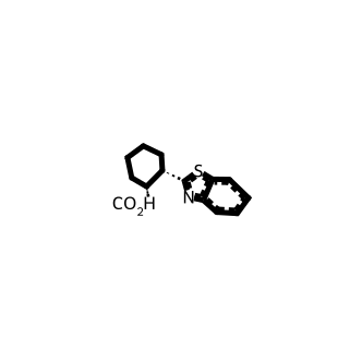 O=C(O)[C@@H]1CCCC[C@@H]1c1nc2ccccc2s1